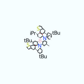 Cc1cc2c3c(c1)N(c1ccc(C(C)(C)C)cc1-c1ccc4sccc4c1)c1ccc(C(C)(C)C)cc1B3C1=C(CCC(C(C)C)=C1)N2c1ccc(C(C)(C)C)cc1-c1ccc2sccc2c1